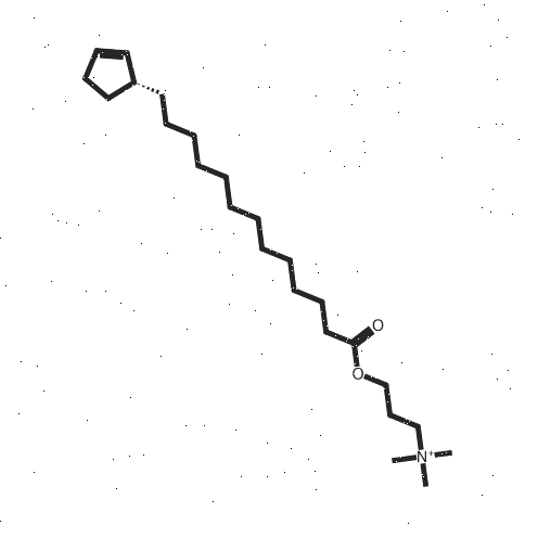 C[N+](C)(C)CCCOC(=O)CCCCCCCCCCCC[C@H]1C=CCC1